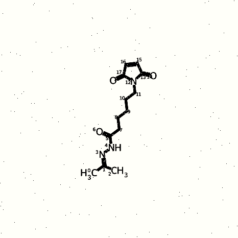 CC(C)=NNC(=O)CCCCCN1C(=O)C=CC1=O